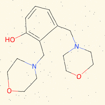 Oc1cccc(CN2CCOCC2)c1CN1CCOCC1